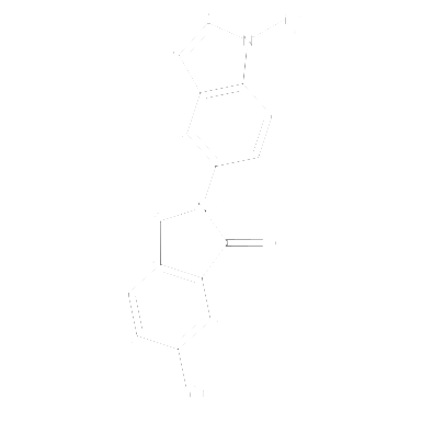 CCCc1ccc2c(c1)C(=O)N(c1ccc3c(ccn3C(C)C)c1)C2